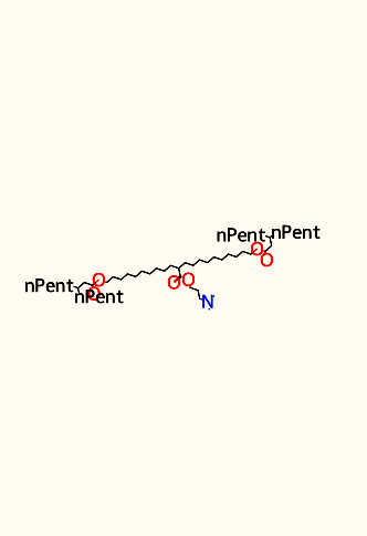 CCCCCC(CCCCC)CC(=O)OCCCCCCCCCCC(CCCCCCCCCCOC(=O)CC(CCCCC)CCCCC)C(=O)OCCCN(C)C